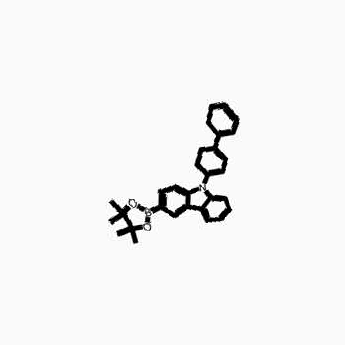 CC1(C)OB(c2ccc3c(c2)c2ccccc2n3C2=CC=C(C3=CC=CCC3)CC2)OC1(C)C